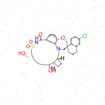 O=C1NS(=O)(=O)C[C@@H](CO)CCC[C@H](O)[C@@H]2CC[C@H]2CN2C[C@@]3(CCCc4cc(Cl)ccc43)COc3ccc1cc32